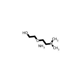 CN(C)CCOCCO.N